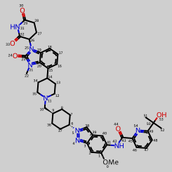 COc1cc2nn([C@H]3CC[C@H](CN4CCC(c5cccc6c5n(C)c(=O)n6C5CCC(=O)NC5=O)CC4)CC3)cc2cc1NC(=O)c1cccc(C(C)(C)O)n1